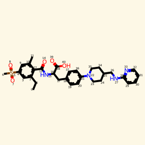 CCc1cc(S(C)(=O)=O)cc(C)c1C(=O)NC(Cc1ccc(N2CCC(CNc3ccccn3)CC2)cc1)C(=O)O